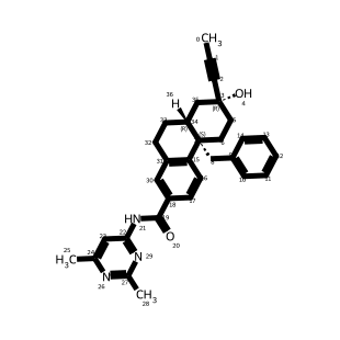 CC#C[C@@]1(O)CC[C@@]2(Cc3ccccc3)c3ccc(C(=O)Nc4cc(C)nc(C)n4)cc3CC[C@@H]2C1